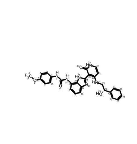 O=C(Nc1ccc(OC(F)(F)F)cc1)Nc1cccc2nc(-c3c(NC[C@@H](O)c4ccccc4)cc[nH]c3=O)[nH]c12